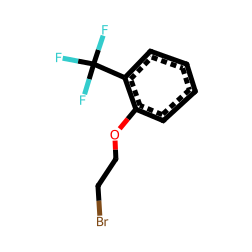 FC(F)(F)c1ccccc1OCCBr